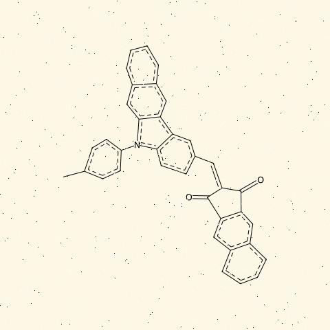 Cc1ccc(-n2c3ccc(C=C4C(=O)c5cc6ccccc6cc5C4=O)cc3c3cc4ccccc4cc32)cc1